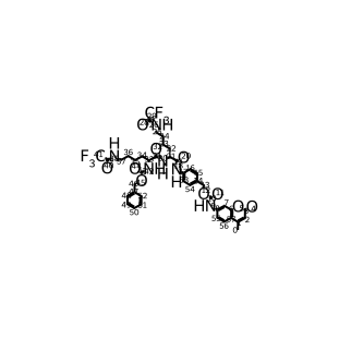 Cc1cc(=O)oc2cc(NC(=O)OCc3ccc(NC(=O)[C@H](CCCCNC(=O)C(F)(F)F)NC(=O)C(CCCCNC(=O)C(F)(F)F)NC(=O)OCc4ccccc4)cc3)ccc12